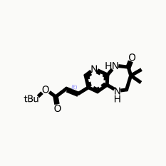 CC(C)(C)OC(=O)/C=C/c1cnc2c(c1)NCC(C)(C)C(=O)N2